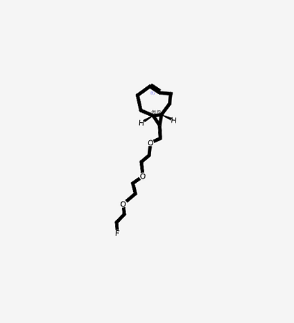 FCCOCCOCCOCC1[C@H]2CC/C=C/CC[C@@H]12